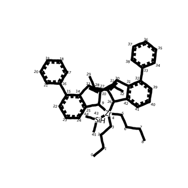 CCC[CH2][Zr]([CH2]CCC)([CH]1C(CC)=Cc2c(-c3ccccc3)cccc21)([CH]1C(CC)=Cc2c(-c3ccccc3)cccc21)[SiH](C)C